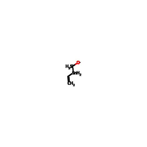 C=[CH][SnH2][SiH2][O]